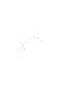 c1ccc(-n2c3ccc(-c4ccc5c(c4)c4ccccc4n5-c4ncc5c6c(cccc46)-c4ccccc4-5)cc3c3cc4ccccc4cc32)cc1